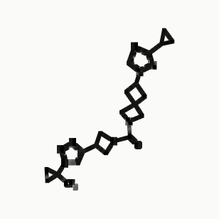 O=C(N1CC(c2cn(C3(C(F)(F)F)CC3)nn2)C1)N1CC2(CC(n3cnc(C4CC4)n3)C2)C1